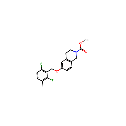 Cc1ccc(F)c(COc2ccc3c(c2)CCN(C(=O)OC(C)(C)C)C3)c1F